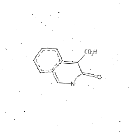 O=C(O)C1=c2ccccc2=C[N]C1=O